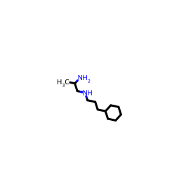 CC(N)CNCCCC1CCCCC1